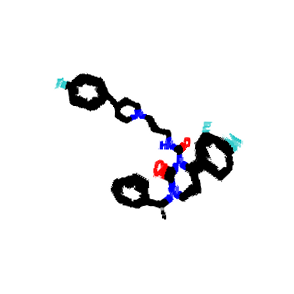 C[C@H](c1ccccc1)N1CCC(c2ccc(F)c(F)c2)N(C(=O)NCCCN2CCC(c3ccc(F)cc3)CC2)C1=O